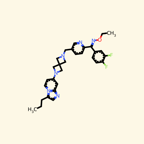 CCCc1cnc2cc(N3CC4(CN(Cc5ccc(/C(=N/OCC)c6ccc(F)c(F)c6)nc5)C4)C3)ccn12